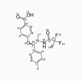 Cc1ccc([C@@H](Oc2ccc(C(=O)O)cc2)C(C)NC(=O)C(F)(F)F)cc1